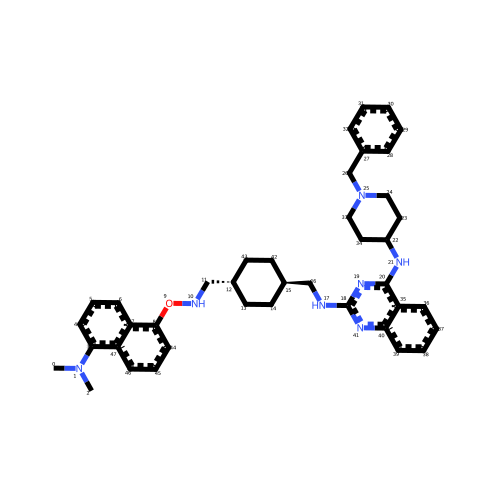 CN(C)c1cccc2c(ONC[C@H]3CC[C@H](CNc4nc(NC5CCN(Cc6ccccc6)CC5)c5ccccc5n4)CC3)cccc12